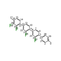 Cc1ccc(-c2ccc(-c3ccc(-c4ccc(C)c(F)c4F)cc3F)cc2F)cc1